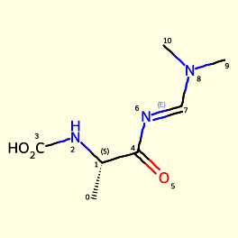 C[C@H](NC(=O)O)C(=O)/N=C/N(C)C